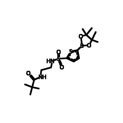 CC(C)(C)C(=O)NCCNS(=O)(=O)c1ccc(B2OC(C)(C)C(C)(C)O2)s1